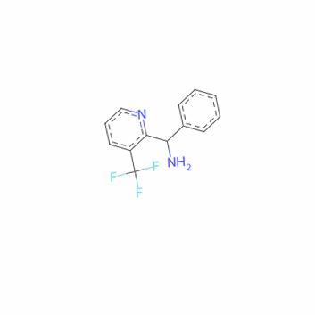 NC(c1ccccc1)c1ncccc1C(F)(F)F